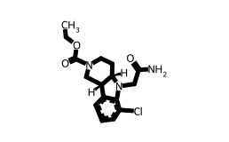 CCOC(=O)N1CC[C@H]2[C@@H](C1)c1cccc(Cl)c1N2CC(N)=O